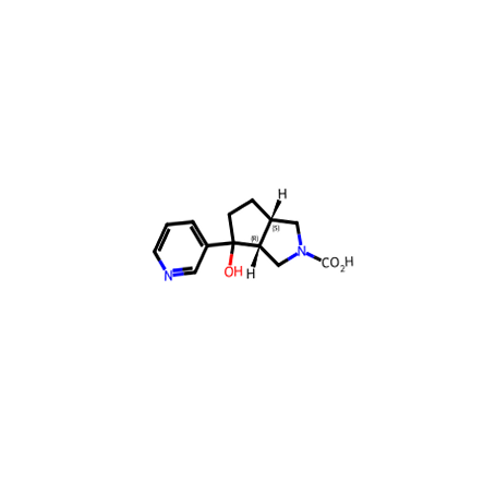 O=C(O)N1C[C@H]2CCC(O)(c3cccnc3)[C@H]2C1